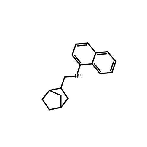 c1ccc2c(NCC3CC4CCC3C4)cccc2c1